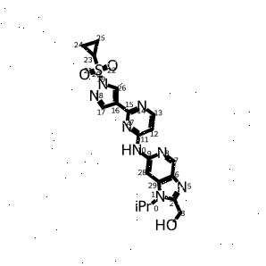 CC(C)n1c(CO)nc2cnc(Nc3ccnc(-c4cnn(S(=O)(=O)C5CC5)c4)n3)cc21